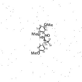 COc1ccc([C@@H]2[C@@H](NC(=O)c3cc(OC)ccc3OC)C2(C)C)cc1